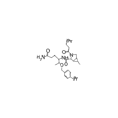 CC(C)CCC(=O)N1CC2C(C)C2C1C(=O)NC(CCC(N)=O)C(C)OCc1ccc(C(C)C)cc1